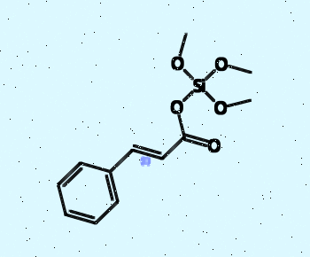 CO[Si](OC)(OC)OC(=O)/C=C/c1ccccc1